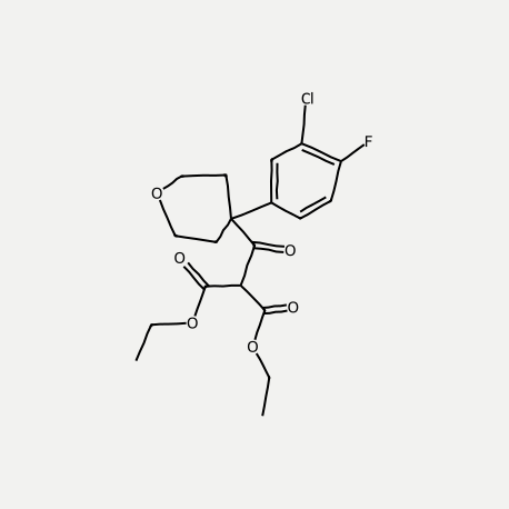 CCOC(=O)C(C(=O)OCC)C(=O)C1(c2ccc(F)c(Cl)c2)CCOCC1